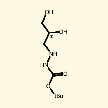 CC(C)(C)OC(=O)NNC[C@H](O)CO